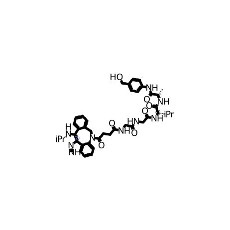 CC(C)N/C1=C(\N=N)c2ccccc2N(C(=O)CCC(=O)NCC(=O)NCC(=O)N[C@H](C(=O)N[C@@H](C)C(=O)Nc2ccc(CO)cc2)C(C)C)Cc2ccccc21